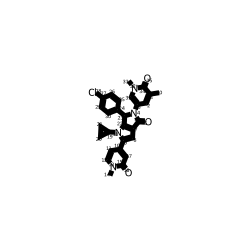 Cc1cc(N2C(=O)c3cc(-c4ccn(C)c(=O)c4)n(C4CC4)c3C2c2ccc(Cl)cc2)cn(C)c1=O